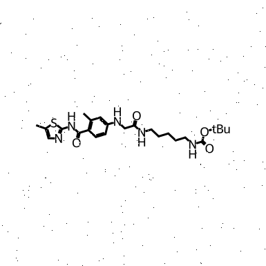 Cc1cnc(NC(=O)c2ccc(NCC(=O)NCCCCCNC(=O)OC(C)(C)C)cc2C)s1